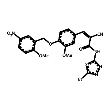 CCc1nnc(NC(=O)C(C#N)=Cc2ccc(OCc3cc([N+](=O)[O-])ccc3OC)c(OC)c2)s1